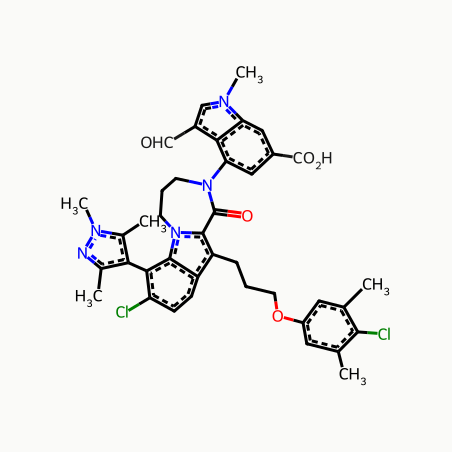 Cc1cc(OCCCc2c3n(c4c(-c5c(C)nn(C)c5C)c(Cl)ccc24)CCCN(c2cc(C(=O)O)cc4c2c(C=O)cn4C)C3=O)cc(C)c1Cl